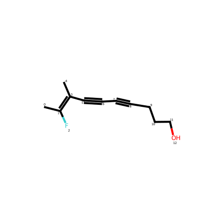 C/C(F)=C(\C)C#CC#CCCCO